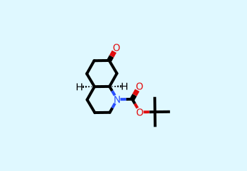 CC(C)(C)OC(=O)N1CCC[C@H]2CCC(=O)C[C@H]21